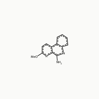 COc1ccc2c(n1)c(N)nc1ccccc12